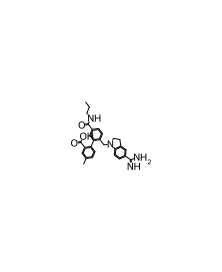 CCCNC(=O)c1ccc(CN2CCc3cc(C(=N)N)ccc32)c(-c2ccc(C)cc2C(=O)O)c1